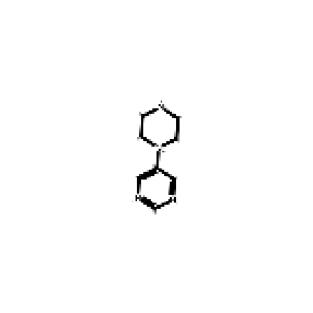 c1ncc(N2CC[N]CC2)cn1